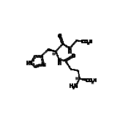 N[C@@H](CCC(=O)N[C@@H](Cc1c[nH]cn1)C(=O)NCC(=O)O)C(=O)O